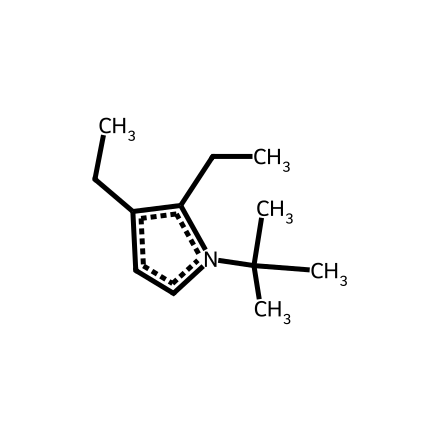 CCc1ccn(C(C)(C)C)c1CC